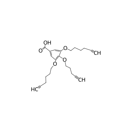 C#CCCCCOc1cc(C(=O)O)cc(OCCCCC#C)c1OCCCC#C